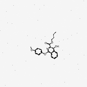 CCCCOC(=O)c1nc(Oc2ccc(OC)cc2)c2ccccc2c1O